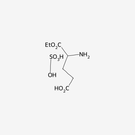 CCOC(=O)C(N)CCC(=O)O.O=S(=O)(O)O